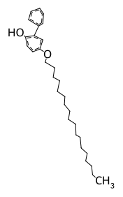 CCCCCCCCCCCCCCCCCCOc1ccc(O)c(-c2ccccc2)c1